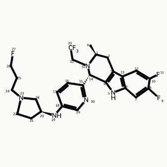 C[C@H]1Cc2c([nH]c3cc(F)c(F)cc23)[C@H](c2ccc(N[C@H]3CCN(CCCF)C3)cn2)N1CC(F)(F)F